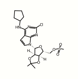 CC1(C)O[C@@H]2[C@H](O1)[C@@H](COS(C)(=O)=O)O[C@H]2n1ccc2c(NC3CCCC3)nc(Cl)nc21